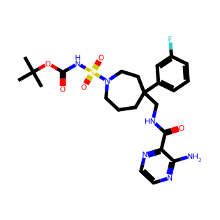 CC(C)(C)OC(=O)NS(=O)(=O)N1CCCC(CNC(=O)c2nccnc2N)(c2cccc(F)c2)CC1